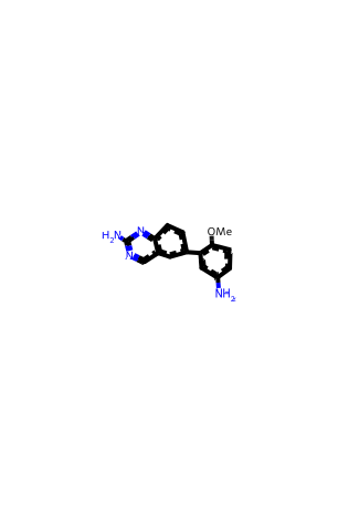 COc1ccc(N)cc1-c1ccc2nc(N)ncc2c1